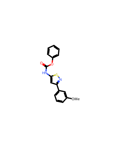 COc1cccc(-c2cc(NC(=O)Oc3ccccc3)sn2)c1